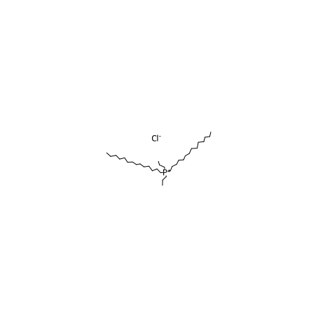 CCCCCCCCCCCCCC[P+](CCC)(CCC)CCCCCCCCCCCCCC.[Cl-]